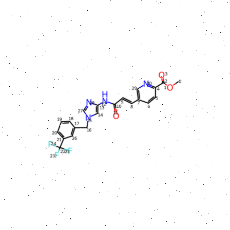 COC(=O)c1ccc(C=CC(=O)Nc2cn(Cc3cccc(C(F)(F)F)c3)cn2)cn1